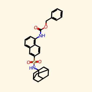 O=C(Nc1cccc2cc(S(=O)(=O)NC34CC5CC(CC(C5)C3)C4)ccc12)OCc1ccccc1